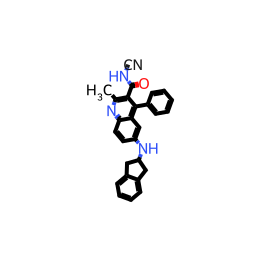 Cc1nc2ccc(NC3Cc4ccccc4C3)cc2c(-c2ccccc2)c1C(=O)NC#N